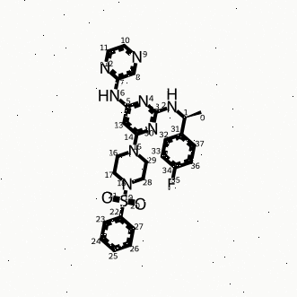 C[C@H](Nc1nc(Nc2cnccn2)cc(N2CCN(S(=O)(=O)c3ccccc3)CC2)n1)c1ccc(F)cc1